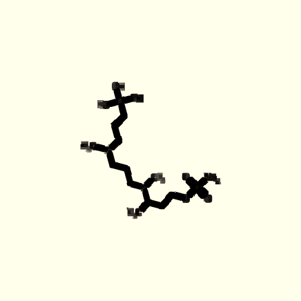 CC(CCOS(N)(=O)=O)N(C)CCCN(C)CCC[Si](O)(O)O